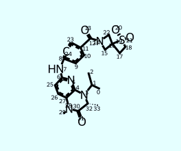 CC(C)N1c2nc(Nc3ccc(C(=O)N4CC5(CCS5(=O)=O)C4)cc3)ccc2N(C)C(=O)[C@H]1C